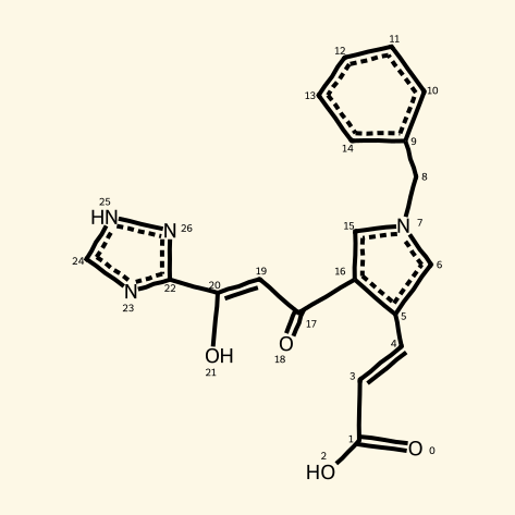 O=C(O)C=Cc1cn(Cc2ccccc2)cc1C(=O)C=C(O)c1nc[nH]n1